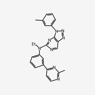 CCN(c1cccc(-c2ccnc(C)n2)c1)c1ncc2nnn(-c3cccc(C)c3)c2n1